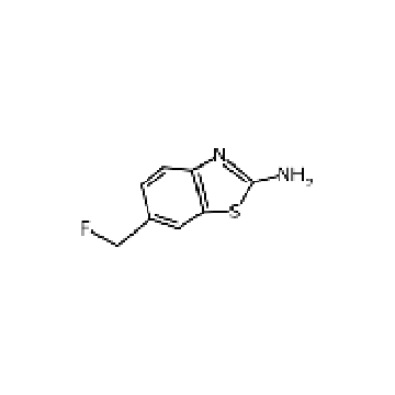 Nc1nc2ccc(CF)cc2s1